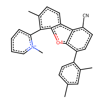 Cc1ccc(-c2ccc(C#N)c3c2oc2c(-c4cccc[n+]4C)c(C)ccc23)c(C)c1